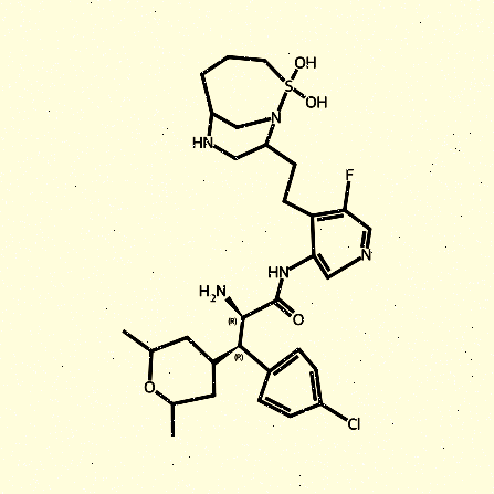 CC1CC([C@H](c2ccc(Cl)cc2)[C@@H](N)C(=O)Nc2cncc(F)c2CCC2CNC3CCCS(O)(O)N2C3)CC(C)O1